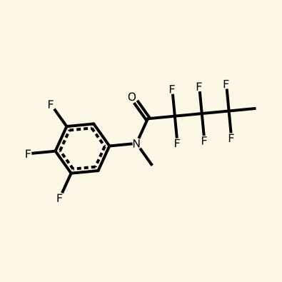 CN(C(=O)C(F)(F)C(F)(F)C(C)(F)F)c1cc(F)c(F)c(F)c1